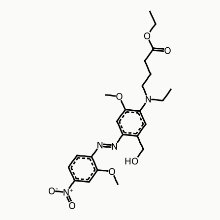 CCOC(=O)CCCN(CC)c1cc(CO)c(N=Nc2ccc([N+](=O)[O-])cc2OC)cc1OC